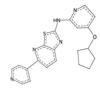 c1cc(-c2ccc3nc(Nc4cc(OC5CCCC5)ccn4)sc3n2)ccn1